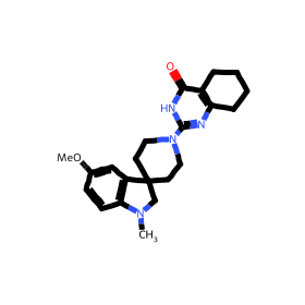 COc1ccc2c(c1)C1(CCN(c3nc4c(c(=O)[nH]3)CCCC4)CC1)CN2C